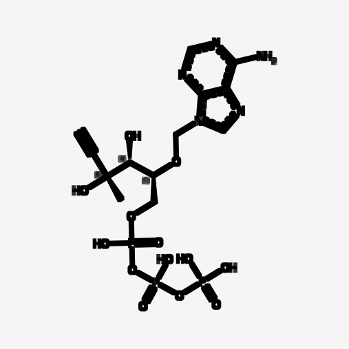 C#C[C@@](C)(O)[C@H](O)[C@H](COP(=O)(O)OP(=O)(O)OP(=O)(O)O)OCn1cnc2c(N)ncnc21